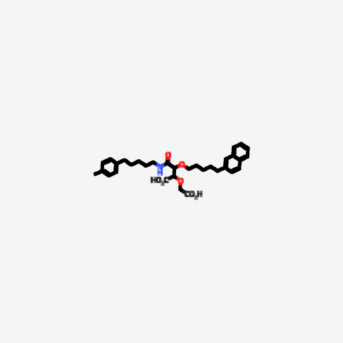 Cc1ccc(CCCCCNC(=O)C(OCCCCCc2ccc3ccccc3c2)C(OCC(=O)O)C(=O)O)cc1